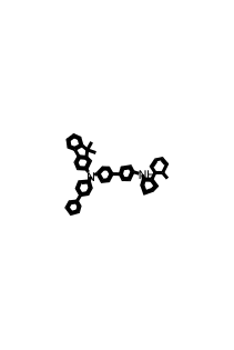 CC1C=CC=CC1c1ccccc1Nc1ccc(-c2ccc(N(c3ccc(-c4ccccc4)cc3)c3ccc4c(c3)C(C)(C)c3ccccc3-4)cc2)cc1